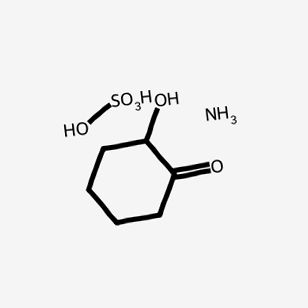 N.O=C1CCCCC1O.O=S(=O)(O)O